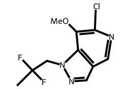 COc1c(Cl)ncc2cnn(CC(C)(F)F)c12